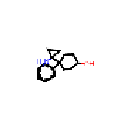 NC1(C2(c3ccccc3)CCC(O)CC2)CC1